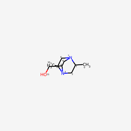 CC1CN2C(C)CN1CC2CO